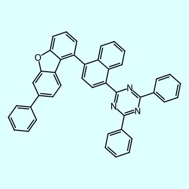 c1ccc(-c2ccc3c(c2)oc2cccc(-c4ccc(-c5nc(-c6ccccc6)nc(-c6ccccc6)n5)c5ccccc45)c23)cc1